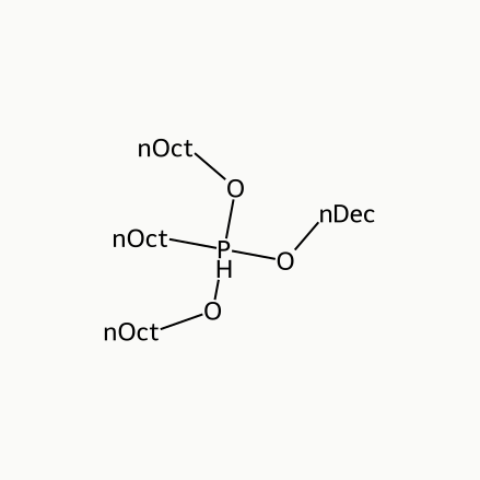 CCCCCCCCCCO[PH](CCCCCCCC)(OCCCCCCCC)OCCCCCCCC